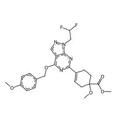 COC(=O)C1(OC)CC=C(c2nc(OCc3ccc(OC)cc3)c3cnn(CC(F)F)c3n2)CC1